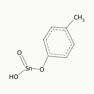 Cc1ccc([O][Sn](=[O])[OH])cc1